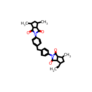 C=CC1CC(C)C2C(=O)N(c3ccc(Cc4ccc(N5C(=O)C6C(C)CC(C)C6C5=O)cc4)cc3)C(=O)C12